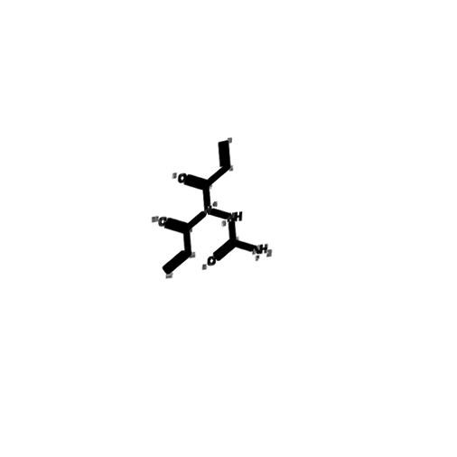 C=CC(=O)N(NC(N)=O)C(=O)C=C